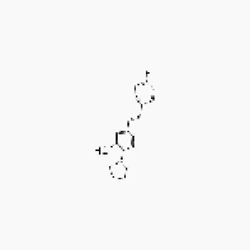 Oc1cc(/C=C/c2ccc(F)cc2)ccc1C1CCCC1